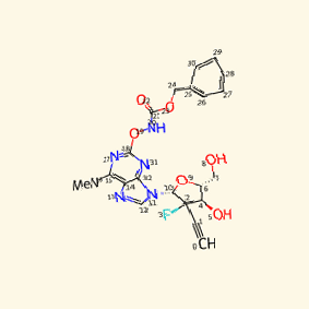 C#C[C@@]1(F)[C@H](O)[C@@H](CO)O[C@H]1n1cnc2c(NC)nc(ONC(=O)OCc3ccccc3)nc21